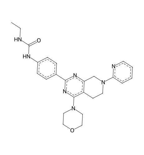 CCNC(=O)Nc1ccc(-c2nc3c(c(N4CCOCC4)n2)CCN(c2ccccn2)C3)cc1